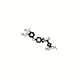 Cc1ccc(OC2CCC3(CC2)CN(C(=O)C2CC(C)(O)C2)C3)cc1C